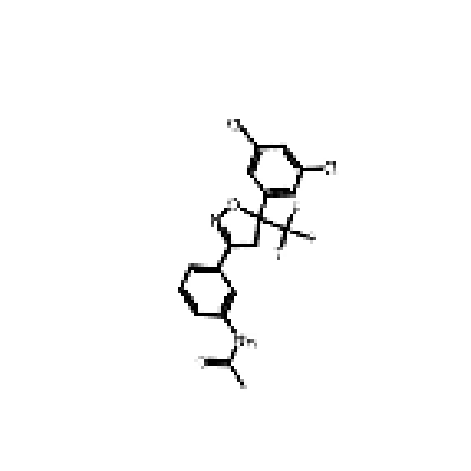 CC(=O)Nc1cccc(C2=NOC(c3cc(Cl)cc(Cl)c3)(C(F)(F)F)C2)c1